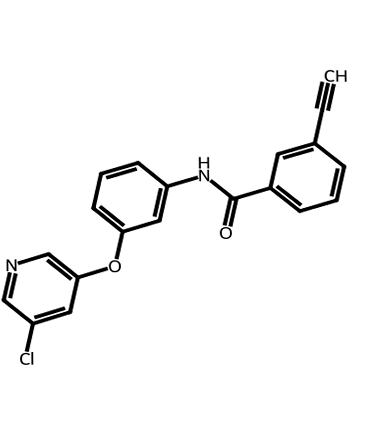 C#Cc1cccc(C(=O)Nc2cccc(Oc3cncc(Cl)c3)c2)c1